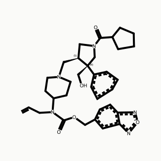 C=CCN(C(=O)OCc1ccc2nonc2c1)C1CCN(C[C@H]2CN(C(=O)C3CCCC3)C[C@]2(CO)c2ccccc2)CC1